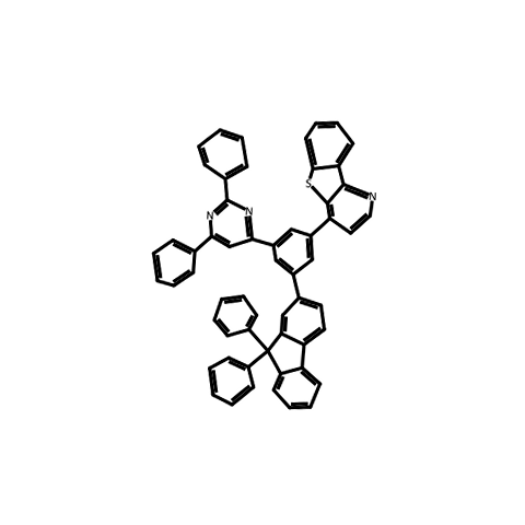 c1ccc(-c2cc(-c3cc(-c4ccc5c(c4)C(c4ccccc4)(c4ccccc4)c4ccccc4-5)cc(-c4ccnc5c4sc4ccccc45)c3)nc(-c3ccccc3)n2)cc1